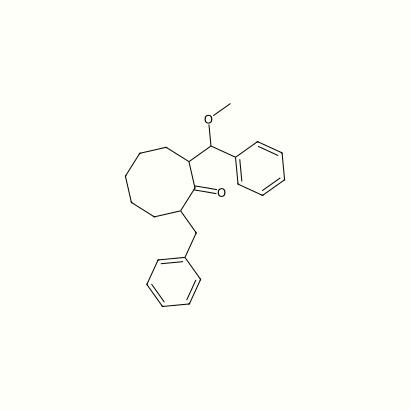 COC(c1ccccc1)C1CCCCCC(Cc2ccccc2)C1=O